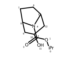 CC(C)OC(=O)N1C2CCC1CC(O)C2